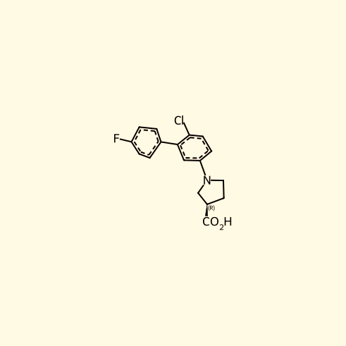 O=C(O)[C@@H]1CCN(c2ccc(Cl)c(-c3ccc(F)cc3)c2)C1